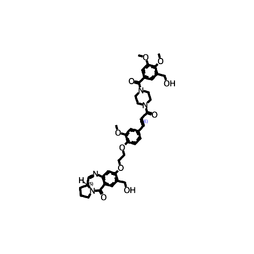 COc1cc(/C=C/C(=O)N2CCN(C(=O)c3cc(CO)c(OC)c(OC)c3)CC2)ccc1OCCOc1cc2c(cc1CO)C(=O)N1CCC[C@H]1C=N2